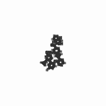 COc1ccc(-c2cc(F)ccc2Oc2nncnc2N2CC3(CCN(C(=O)[C@H]4NC[C@@H]5CCC[C@@H]54)CC3)C2)c(C2CC2)n1